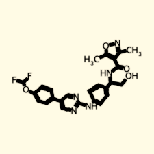 Cc1noc(C)c1C(=O)NC(CO)c1ccc(Nc2ncc(-c3ccc(OC(F)F)cc3)cn2)cc1